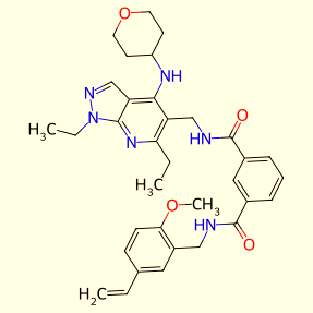 C=Cc1ccc(OC)c(CNC(=O)c2cccc(C(=O)NCc3c(CC)nc4c(cnn4CC)c3NC3CCOCC3)c2)c1